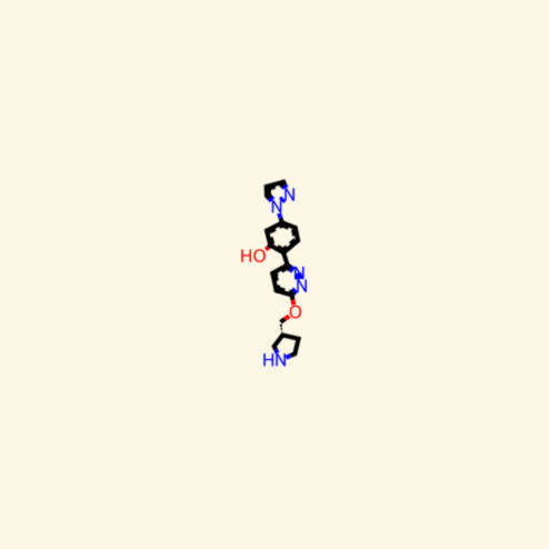 Oc1cc(-n2cccn2)ccc1-c1ccc(OC[C@@H]2CCNC2)nn1